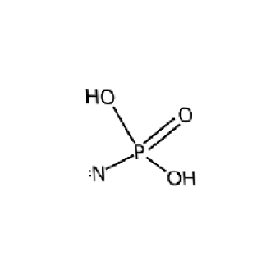 [N]P(=O)(O)O